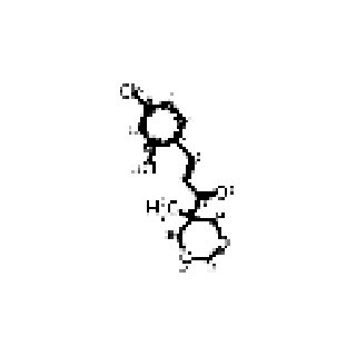 CC1(C(=O)C=Cc2ccc(Cl)cc2Cl)COCOC1